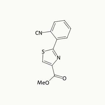 [C-]#[N+]c1ccccc1-c1nc(C(=O)OC)cs1